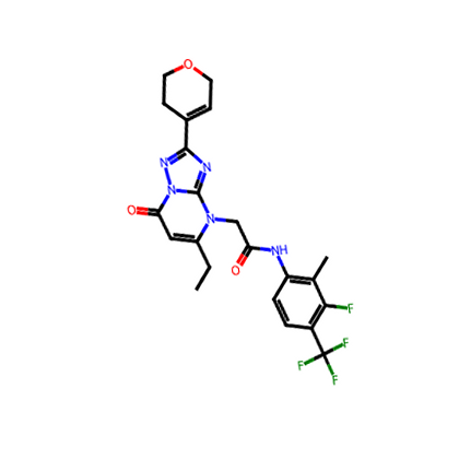 CCc1cc(=O)n2nc(C3=CCOCC3)nc2n1CC(=O)Nc1ccc(C(F)(F)F)c(F)c1C